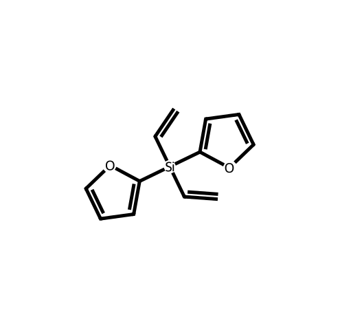 C=C[Si](C=C)(c1ccco1)c1ccco1